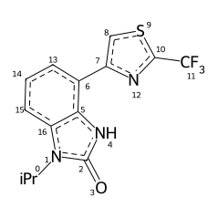 CC(C)n1c(=O)[nH]c2c(-c3csc(C(F)(F)F)n3)cccc21